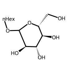 CCCCCCOC1O[C@H](CO)[C@@H](O)[C@H](O)[C@H]1O